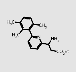 CCOC(=O)CC(N)c1cccc(-c2c(C)ccc(C)c2C)n1